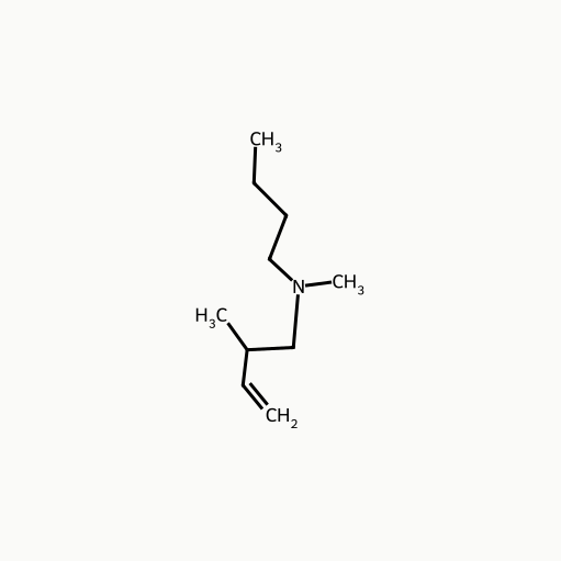 C=CC(C)CN(C)CCCC